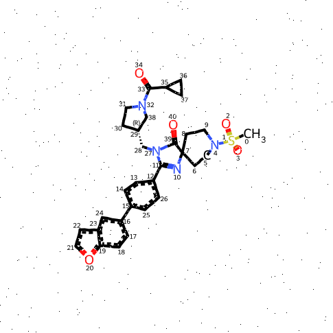 CS(=O)(=O)N1CCC2(CC1)N=C(c1ccc(-c3ccc4occc4c3)cc1)N(C[C@@H]1CCN(C(=O)C3CC3)C1)C2=O